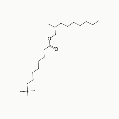 CCCCCCCC(C)COC(=O)CCCCCCCC(C)(C)C